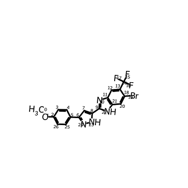 COc1ccc(-c2cc(-c3nc4cc(C(F)(F)F)c(Br)cc4[nH]3)[nH]n2)cc1